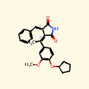 COc1cc(/C(C)=C2\C(=O)NC(=O)\C2=C\c2ccccc2)ccc1OC1CCCC1